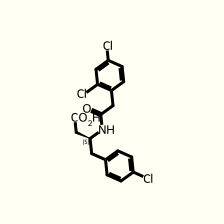 O=C(O)C[C@H](Cc1ccc(Cl)cc1)NC(=O)Cc1ccc(Cl)cc1Cl